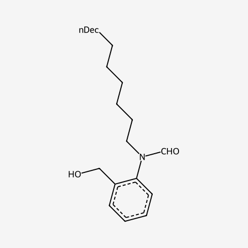 CCCCCCCCCCCCCCCCN(C=O)c1ccccc1CO